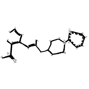 C\C=C/C(/C=C(\C)CC1CCN(c2ccccn2)CC1)=C(\C)C(C)=O